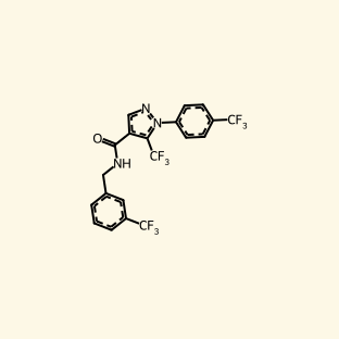 O=C(NCc1cccc(C(F)(F)F)c1)c1cnn(-c2ccc(C(F)(F)F)cc2)c1C(F)(F)F